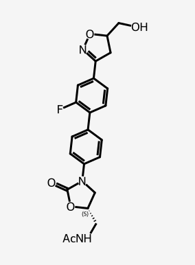 CC(=O)NC[C@H]1CN(c2ccc(-c3ccc(C4=NOC(CO)C4)cc3F)cc2)C(=O)O1